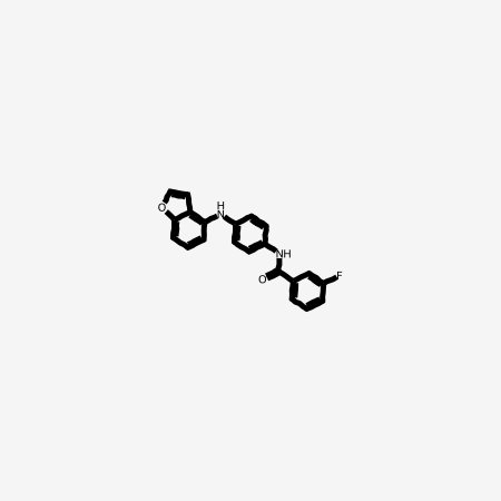 O=C(Nc1ccc(Nc2cccc3occc23)cc1)c1cccc(F)c1